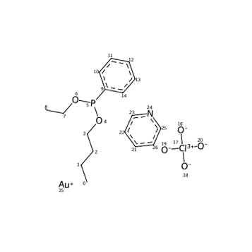 CCCCOP(OCC)c1ccccc1.[Au+].[O-][Cl+3]([O-])([O-])[O-].c1ccncc1